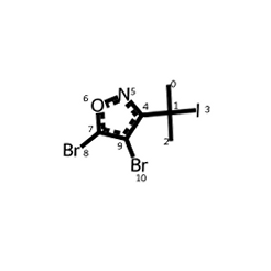 CC(C)(I)c1noc(Br)c1Br